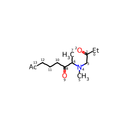 CCC(=O)CN(C)C(C)C(=O)CCCC(C)=O